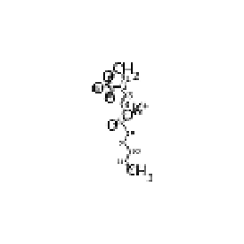 C=CC(C=COC(=O)CCCCC)S(=O)(=O)[O-].[K+]